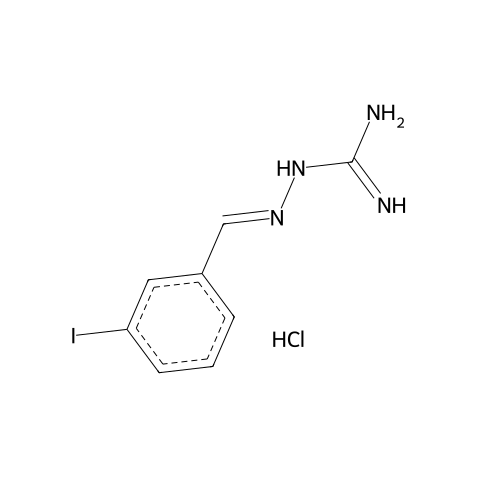 Cl.N=C(N)NN=Cc1cccc(I)c1